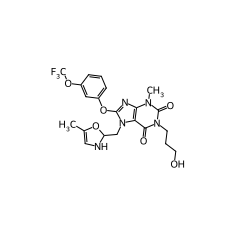 CC1=CNC(Cn2c(Oc3cccc(OC(F)(F)F)c3)nc3c2c(=O)n(CCCO)c(=O)n3C)O1